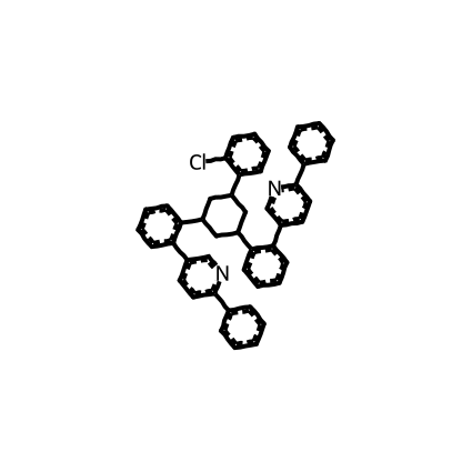 Clc1ccccc1C1CC(c2ccccc2-c2ccc(-c3ccccc3)nc2)CC(c2ccccc2-c2ccc(-c3ccccc3)nc2)C1